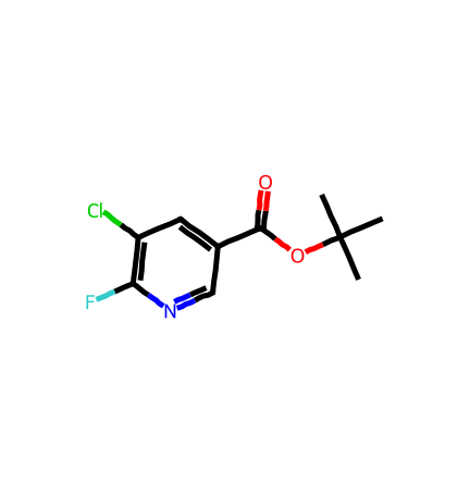 CC(C)(C)OC(=O)c1cnc(F)c(Cl)c1